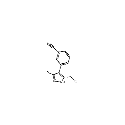 Cc1n[nH]c(CCl)c1-c1cccc(C#N)c1